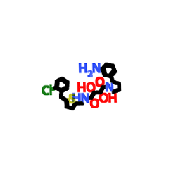 Nc1cccc(C2CCCN2C(=O)[C@H](O)[C@@H](O)C(=O)NCC2CC=C(Cc3ccccc3Cl)S2)c1